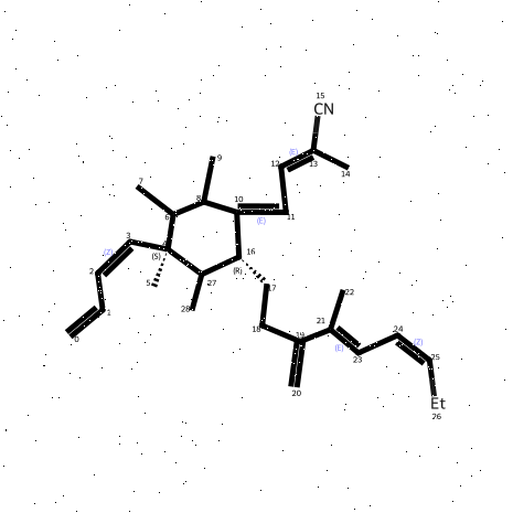 C=C/C=C\[C@@]1(C)C(C)C(C)/C(=C\C=C(/C)C#N)[C@H](CCC(=C)/C(C)=C/C=C\CC)C1C